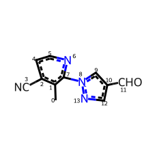 Cc1c(C#N)ccnc1-n1cc(C=O)cn1